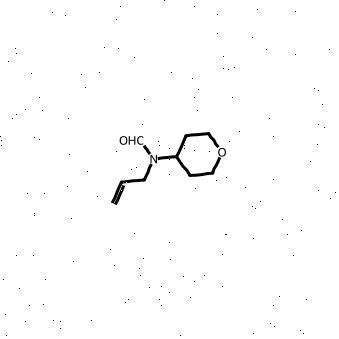 C=CCN(C=O)C1CCOCC1